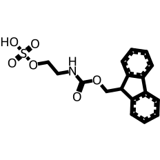 O=C(NCCOS(=O)(=O)O)OCC1c2ccccc2-c2ccccc21